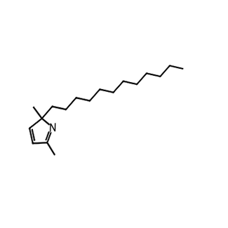 CCCCCCCCCCCCC1(C)C=CC(C)=N1